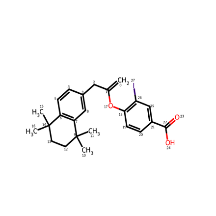 C=C(Cc1ccc2c(c1)C(C)(C)CCC2(C)C)Oc1ccc(C(=O)O)cc1I